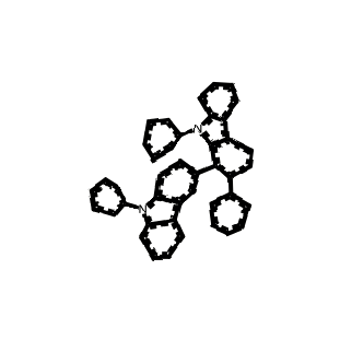 c1ccc(-c2ccc3c4ccccc4n(-c4ccccc4)c3c2-c2ccc3c(c2)c2ccccc2n3-c2ccccc2)cc1